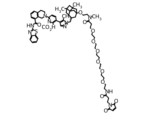 Cc1c(-c2ccc(N3CCc4cccc(C(=O)Nc5nc6ccccc6s5)c4C3)nc2C(=O)O)cnn1CC12CC3(OCCN(C)C(=O)CCOCCOCCOCCOCCOCCOCCNC(=O)CCN4C(=O)C=CC4=O)CC4(C)CC(C)(C1)C4(C2)C3